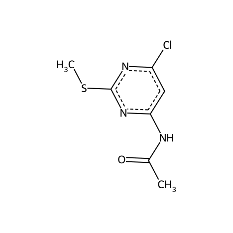 CSc1nc(Cl)cc(NC(C)=O)n1